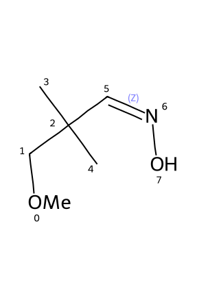 COCC(C)(C)/C=N\O